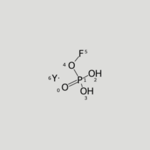 O=P(O)(O)OF.[Y]